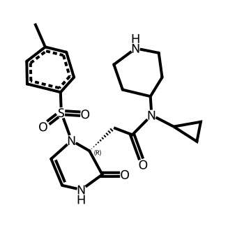 Cc1ccc(S(=O)(=O)N2C=CNC(=O)[C@H]2CC(=O)N(C2CCNCC2)C2CC2)cc1